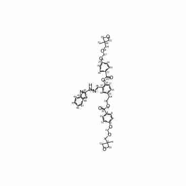 CC1(COCOc2ccc(C(=O)OCCc3ccc(OC(=O)c4ccc(OCOCC5(C)COC5)cc4)c(/C=N/Nc4nc5ccccc5s4)c3)cc2)COC1